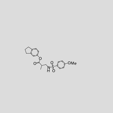 COc1ccc(S(=O)(=O)NCC(C)C(=O)Oc2ccc3c(c2)CCC3)cc1